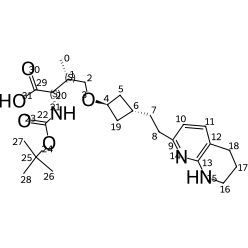 C[C@H](CO[C@H]1C[C@H](CCc2ccc3c(n2)NCCC3)C1)[C@H](NC(=O)OC(C)(C)C)C(=O)O